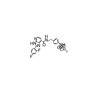 CS(=O)(=O)Nc1ccc(CCNC(=O)c2ccnc3[nH]c(-c4ccc(F)cc4F)nc23)cc1